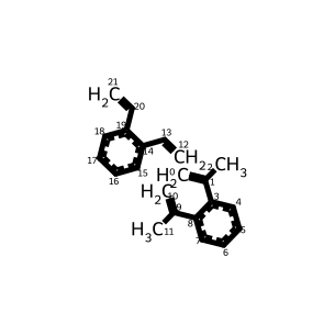 C=C(C)c1ccccc1C(=C)C.C=Cc1ccccc1C=C